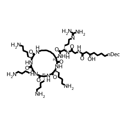 CCCCCCCCCCCCCC[C@@H](O)CC(=O)NCC(=O)N[C@@H](CCCN=C(N)N)C(=O)N[C@@H]1CCCCNC(=O)[C@H](CCCCN)NC(=O)[C@@H](CCCCN)NC(=O)[C@@H](CCCCN)NC(=O)[C@H](CCCCN)NC1=O